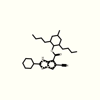 CCCCC1CC(C)CC(CCCC)C1OC(=O)c1c(C#N)cn2nc(C3CCCCC3)[nH]c12